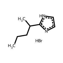 Br.CCCC(C)c1ncc[nH]1